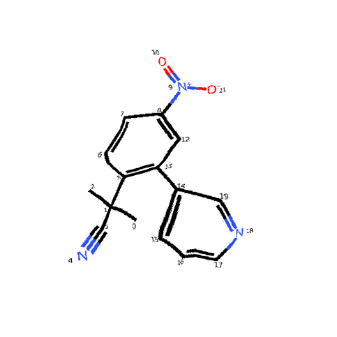 CC(C)(C#N)c1ccc([N+](=O)[O-])cc1-c1cccnc1